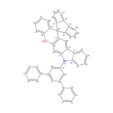 c1ccc(-c2cc(-c3ccccc3)cc(-n3c4ccccc4c4cc5c(cc43)Oc3ccccc3C53c4ccccc4-c4ccccc43)c2)cc1